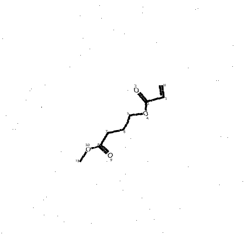 C=CC(=O)OCCCC(=O)OC